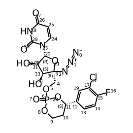 [N-]=[N+]=N[C@]1(COP2(=O)OCC[C@@H](c3ccc(F)c(Cl)c3)O2)O[C@@H](n2ccc(=O)[nH]c2=O)[C@H](O)[C@@H]1O